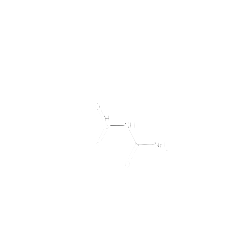 NC(=O)N[SH](=O)=S